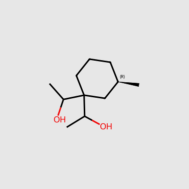 CC(O)C1(C(C)O)CCC[C@@H](C)C1